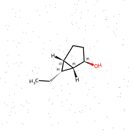 CC[C@@H]1[C@@H]2CC[C@@H](O)[C@H]12